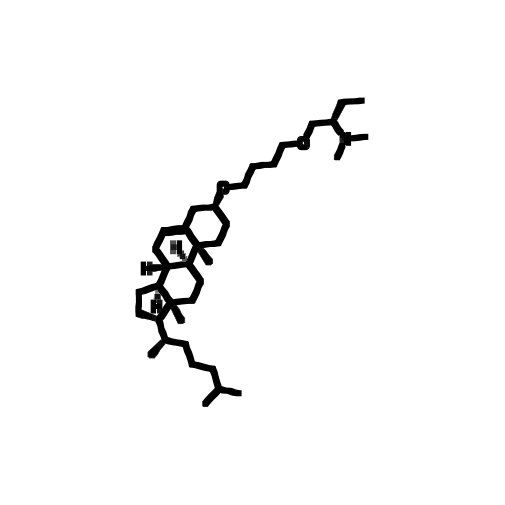 CC[C@H](COCCCCO[C@H]1CC[C@@]2(C)C(=CC[C@H]3[C@@H]4CC[C@H]([C@H](C)CCCC(C)C)[C@@]4(C)CC[C@@H]32)C1)N(C)C